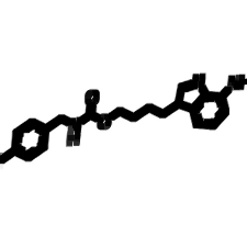 Nc1cccc2c1N=CC2CCCCOC(=O)NCc1ccc(Cl)cc1